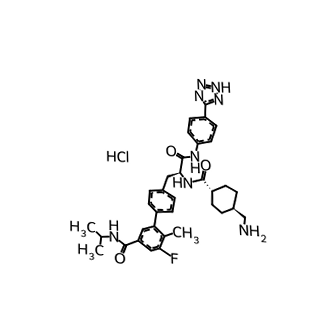 Cc1c(F)cc(C(=O)NC(C)C)cc1-c1ccc(C[C@H](NC(=O)[C@H]2CC[C@H](CN)CC2)C(=O)Nc2ccc(-c3nn[nH]n3)cc2)cc1.Cl